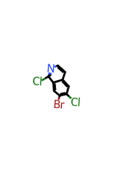 Clc1cc2ccnc(Cl)c2cc1Br